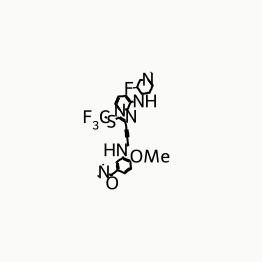 COc1ccc(C(=O)N(C)C)cc1NCC#Cc1nc2c(N[C@@H]3CCN(C)C[C@@H]3F)cccn2c1SC(F)(F)F